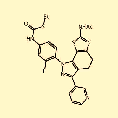 CCSC(=O)Nc1ccc(-n2nc(-c3cccnc3)c3c2-c2sc(NC(C)=O)nc2CC3)c(F)c1